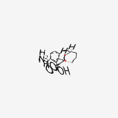 NC(=O)c1ccc2c(c1O)[C@]13CCC[C@H](C2)[C@@H]1CC[C@H](O)C3